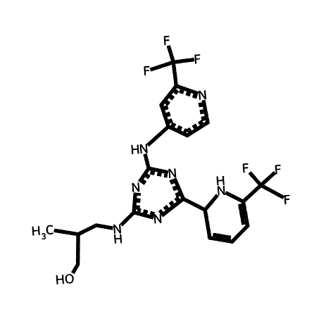 CC(CO)CNc1nc(Nc2ccnc(C(F)(F)F)c2)nc(C2C=CC=C(C(F)(F)F)N2)n1